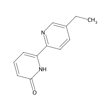 CCc1ccc(-c2cccc(=O)[nH]2)nc1